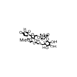 COCCOCCSCC1O[C@H](OP(C)(=O)OP(C)(=O)OCC2OC(n3ccc(=O)[nH]c3=O)[C@H](O)[C@@H]2O)C(O)[C@@H](O)[C@H]1O